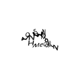 COc1cc(-c2cncc(-c3cc(NC(=O)CC4CC4)cs3)n2)ccc1S(=O)(=O)N(C)CCN(C)C